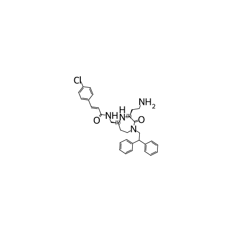 NCC[C@@H]1N[C@H](CNC(=O)C=Cc2ccc(Cl)cc2)CCN(CC(c2ccccc2)c2ccccc2)C1=O